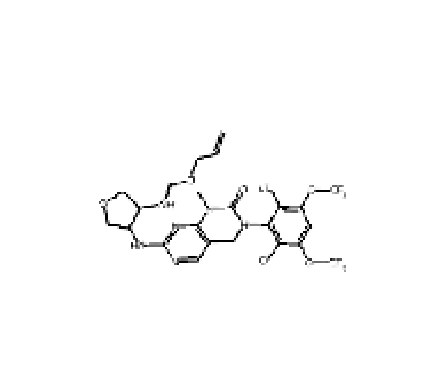 C=CCOCNC1COCC1Nc1ncc2c(n1)N(C)C(=O)N(c1c(Cl)c(OC(F)(F)F)cc(OC(F)(F)F)c1Cl)C2